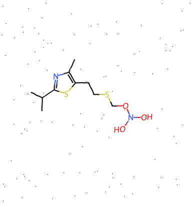 Cc1nc(C(C)C)sc1CCSCON(O)O